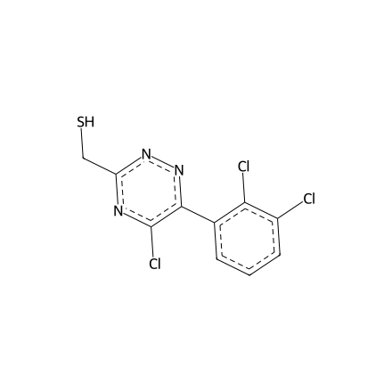 SCc1nnc(-c2cccc(Cl)c2Cl)c(Cl)n1